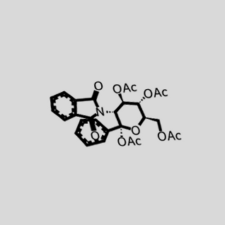 CC(=O)OC[C@H]1O[C@@](OC(C)=O)(c2ccccc2)[C@H](N2C(=O)c3ccccc3C2=O)[C@@H](OC(C)=O)[C@@H]1OC(C)=O